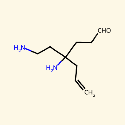 C=CCC(N)(CCN)CCC=O